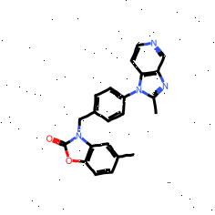 Cc1ccc2oc(=O)n(Cc3ccc(-n4c(C)nc5cnccc54)cc3)c2c1